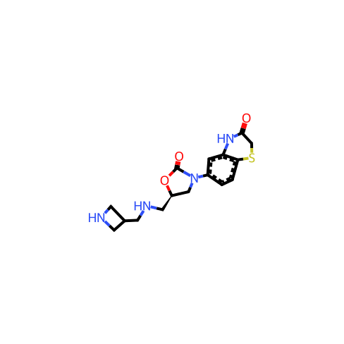 O=C1CSc2ccc(N3C[C@@H](CNCC4CNC4)OC3=O)cc2N1